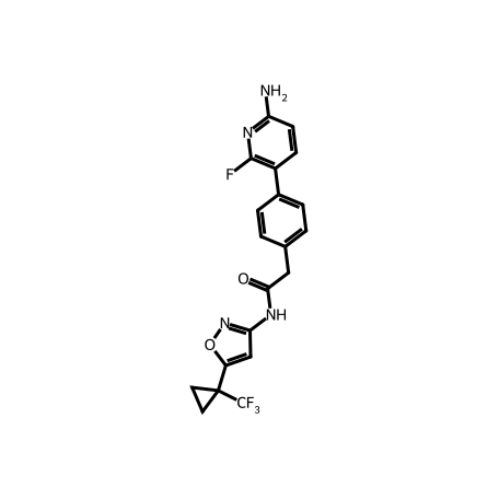 Nc1ccc(-c2ccc(CC(=O)Nc3cc(C4(C(F)(F)F)CC4)on3)cc2)c(F)n1